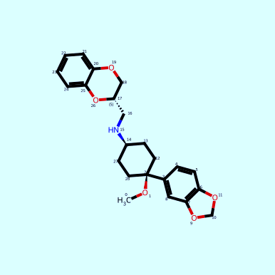 CO[C@]1(c2ccc3c(c2)OCO3)CC[C@H](NC[C@H]2COc3ccccc3O2)CC1